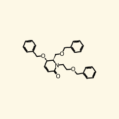 O=C1C=C[C@@H](OCc2ccccc2)[C@@H](COCc2ccccc2)N1CCOCc1ccccc1